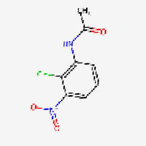 CC(=O)Nc1cccc([N+](=O)[O-])c1Cl